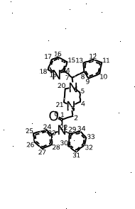 O=C(CN1CCN(C(c2ccccc2)c2ccccn2)CC1)N(c1ccccc1)c1ccccc1